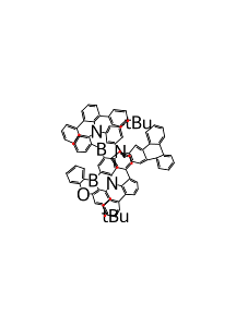 CC(C)(C)c1cc2c3c(c1)N(c1c(-c4ccccc4)cccc1-c1ccccc1)c1cc4c(cc1B3c1ccccc1O2)B1c2ccccc2N(c2c(-c3ccccc3)cccc2-c2ccccc2)c2cc(C(C)(C)C)cc(c21)N4c1ccc2c3ccccc3c3ccccc3c2c1